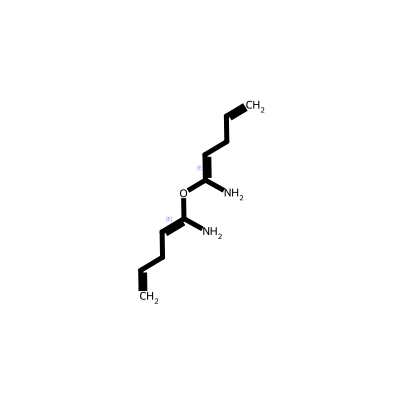 C=CC/C=C(\N)O/C(N)=C/CC=C